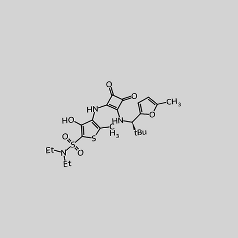 CCN(CC)S(=O)(=O)c1sc(C)c(Nc2c(N[C@@H](c3ccc(C)o3)C(C)(C)C)c(=O)c2=O)c1O